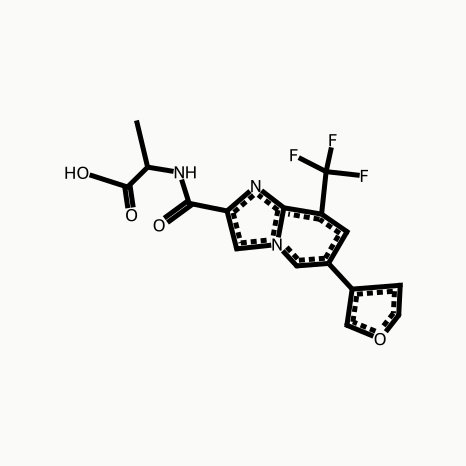 CC(NC(=O)c1cn2cc(-c3ccoc3)cc(C(F)(F)F)c2n1)C(=O)O